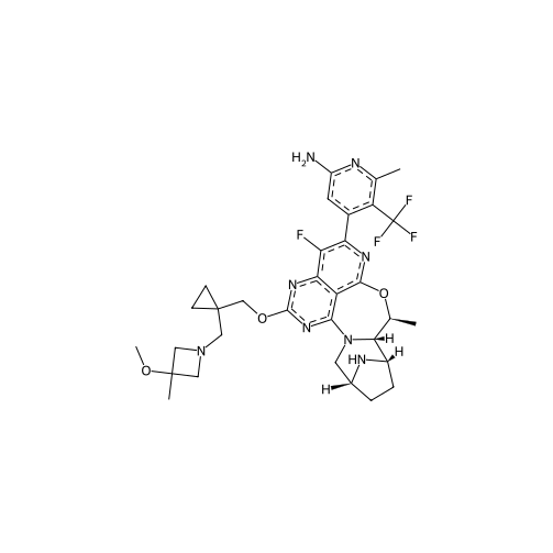 COC1(C)CN(CC2(COc3nc4c5c(nc(-c6cc(N)nc(C)c6C(F)(F)F)c(F)c5n3)O[C@@H](C)[C@@H]3[C@@H]5CC[C@H](CN43)N5)CC2)C1